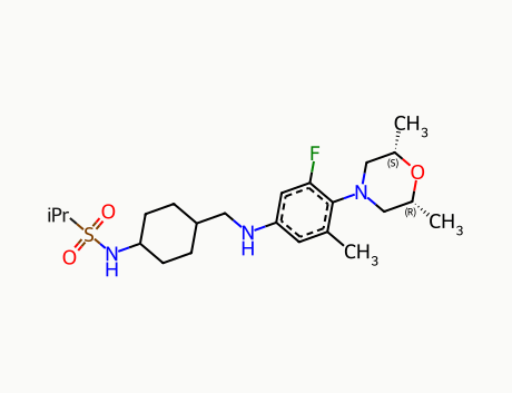 Cc1cc(NCC2CCC(NS(=O)(=O)C(C)C)CC2)cc(F)c1N1C[C@@H](C)O[C@@H](C)C1